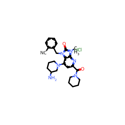 Cl.Cn1c(=O)n(Cc2ccccc2C#N)c2c(N3CCCC(N)C3)cc(C(=O)N3CCCCC3)nc21